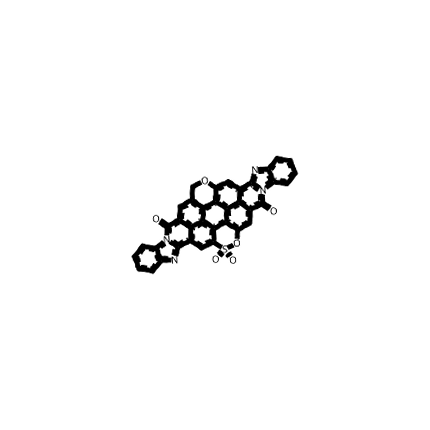 O=c1c2cc3c4c5c(cc6c7c(cc8c(c9c(cc(c2c94)c2nc4ccccc4n12)OC8)c57)c(=O)n1c2ccccc2nc61)S(=O)(=O)O3